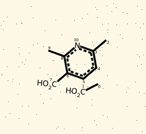 CC(=O)O.Cc1ccc(C(=O)O)c(C)n1